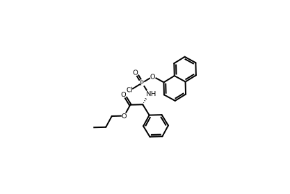 CCCOC(=O)[C@H](NP(=O)(Cl)Oc1cccc2ccccc12)c1ccccc1